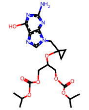 CC(C)OC(=O)OCC(COC(=O)OC(C)C)OC1(Cn2cnc3c(O)nc(N)nc32)CC1